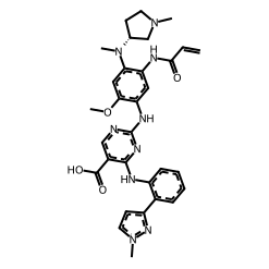 C=CC(=O)Nc1cc(Nc2ncc(C(=O)O)c(Nc3ccccc3-c3ccn(C)n3)n2)c(OC)cc1N(C)[C@@H]1CCN(C)C1